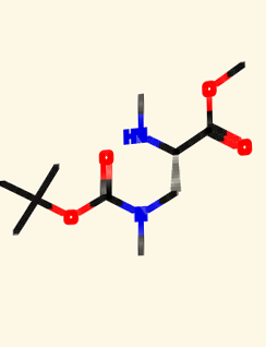 CN[C@@H](CN(C)C(=O)OC(C)(C)C)C(=O)OC